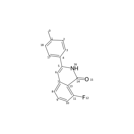 Cc1ccc(-c2cc3cccc(F)c3c(=O)[nH]2)cc1